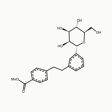 COC(=O)c1ccc(CCc2cccc([C@H]3O[C@H](CO)[C@@H](O)[C@H](O)[C@@H]3O)c2)cc1